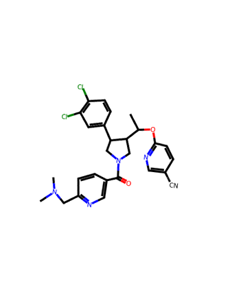 CC(Oc1ccc(C#N)cn1)C1CN(C(=O)c2ccc(CN(C)C)nc2)CC1c1ccc(Cl)c(Cl)c1